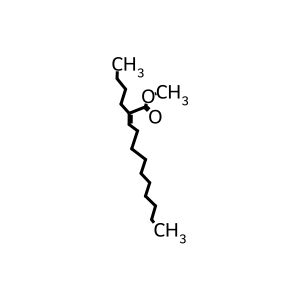 CCCCCCCCCC=C(CCCC)C(=O)OC